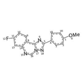 COc1ccc(-c2nc3c4ccc(F)cc4ncn3n2)cc1